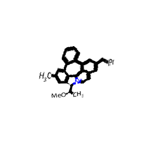 CO[C@H](C)[C@@H]1c2cc(C)cc3c2-c2c4c(cc(CC(C)C)cc4cc[n+]21)-c1ccccc1-3